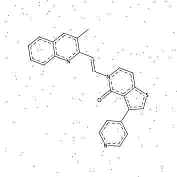 Cc1cc2ccccc2nc1C=Cn1ccc2scc(-c3ccncc3)c2c1=O